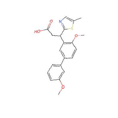 COc1cccc(-c2ccc(OC)c(C(CC(=O)O)c3ncc(C)s3)c2)c1